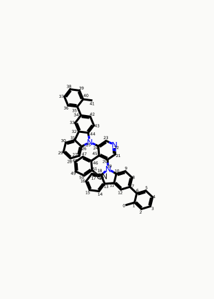 Cc1ccccc1-c1ccc2c(c1)c1ccccc1n2-c1cncc(-n2c3ccccc3c3cc(-c4ccccc4C)ccc32)c1-c1ccccc1C#N